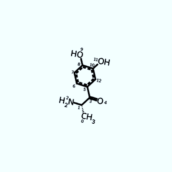 C[C@H](N)C(=O)c1ccc(O)c(O)c1